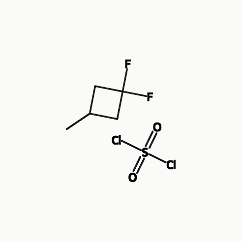 CC1CC(F)(F)C1.O=S(=O)(Cl)Cl